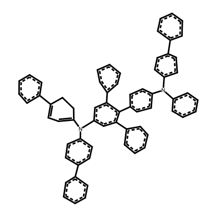 C1=C(c2ccccc2)CCC(N(c2ccc(-c3ccccc3)cc2)c2cc(-c3ccccc3)c(-c3ccc(N(c4ccccc4)c4ccc(-c5ccccc5)cc4)cc3)c(-c3ccccc3)c2)=C1